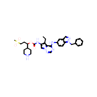 CCc1c(NC(=O)OC(CCS(C)(=O)=O)C2CCNCC2)cn2ncnc(Nc3ccc4c(cnn4Cc4ccccc4)c3)c12